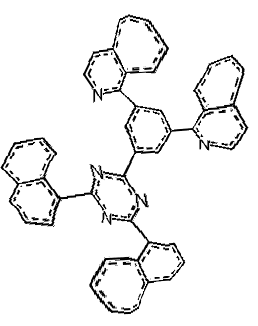 c1ccc2c(-c3nc(-c4cc(-c5nccc6ccccc56)cc(-c5nccc6ccccc56)c4)nc(-c4cccc5ccccc45)n3)cccc2c1